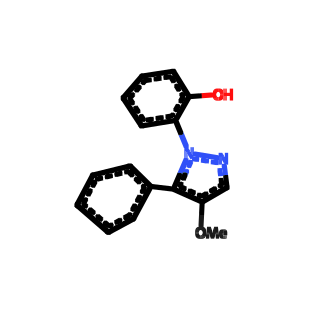 COc1cnn(-c2ccccc2O)c1-c1ccccc1